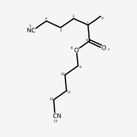 CC(CCCC#N)C(=O)OCCCCC#N